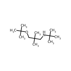 CC(C)(CNC(C)(C)C)COC(C)(C)C